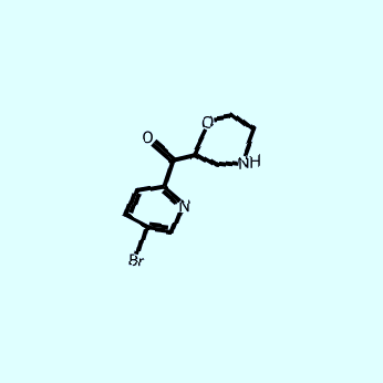 O=C(c1ccc(Br)cn1)C1CNCCO1